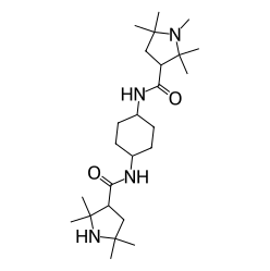 CN1C(C)(C)CC(C(=O)NC2CCC(NC(=O)C3CC(C)(C)NC3(C)C)CC2)C1(C)C